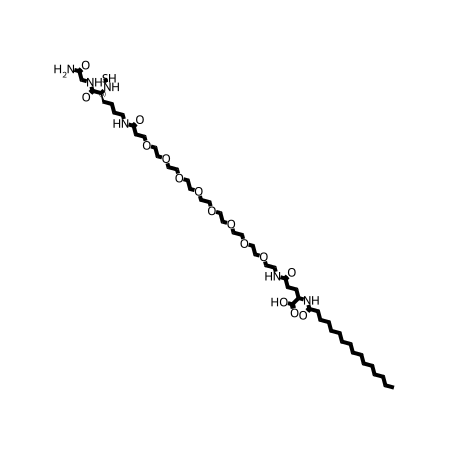 CCCCCCCCCCCCCCCC(=O)NC(CCC(=O)NCCOCCOCCOCCOCCOCCOCCOCCOCCC(=O)NCCCC[C@H](NS)C(=O)NCC(N)=O)C(=O)O